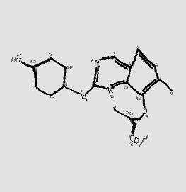 Cc1ccc2cnc(NC3CCC(O)CC3)nc2c1OC(C)C(=O)O